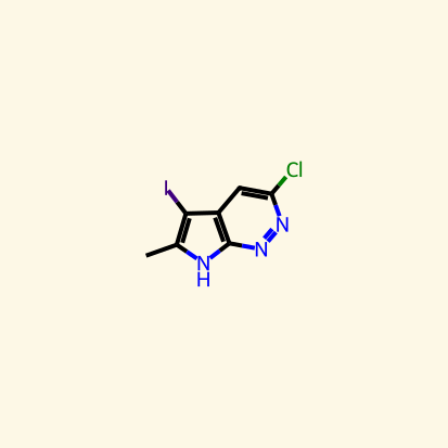 Cc1[nH]c2nnc(Cl)cc2c1I